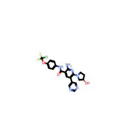 Nc1nc(N2CC[C@@H](O)C2)c(-c2cncnc2)cc1C(=O)Nc1ccc(OC(F)(F)Cl)cc1